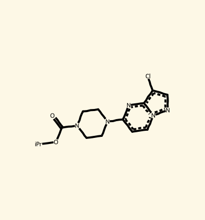 CC(C)OC(=O)N1CCN(c2ccn3ncc(Cl)c3n2)CC1